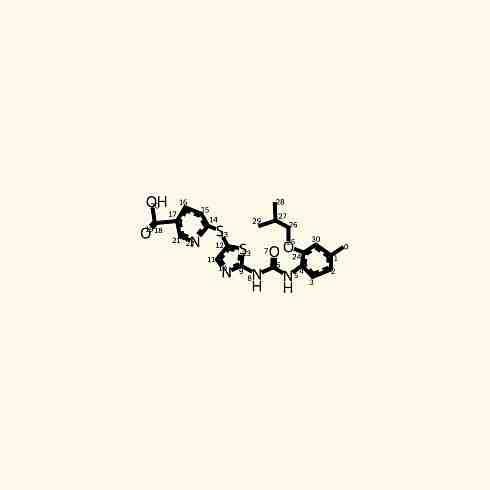 Cc1ccc(NC(=O)Nc2ncc(Sc3ccc(C(=O)O)cn3)s2)c(OCC(C)C)c1